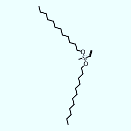 C=C[Si](C)(OCCCCCCCCCCCC)OCCCCCCCCCCCC